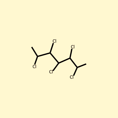 CC(Cl)C(Cl)C(Cl)C(Cl)C(C)Cl